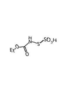 CCOC(=O)NSS(=O)(=O)O